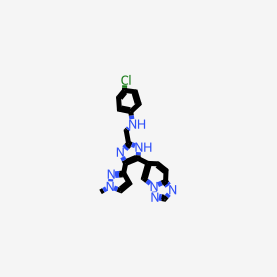 Cn1ccc(-c2nc(CNc3ccc(Cl)cc3)[nH]c2-c2ccc3ncnn3c2)n1